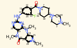 CN1CCN(C2CCN(C(=O)c3ccc(Nc4ncc5c(n4)N(C)c4cn(C)cc4C(=O)N5C)cc3F)CC2)CC1